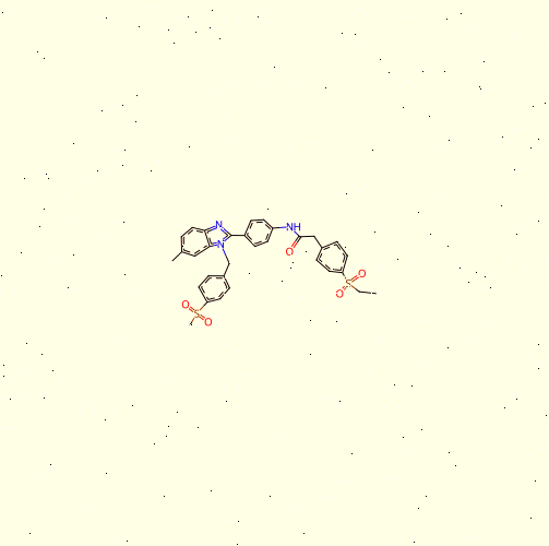 CCS(=O)(=O)c1ccc(CC(=O)Nc2ccc(-c3nc4ccc(C)cc4n3Cc3ccc(S(C)(=O)=O)cc3)cc2)cc1